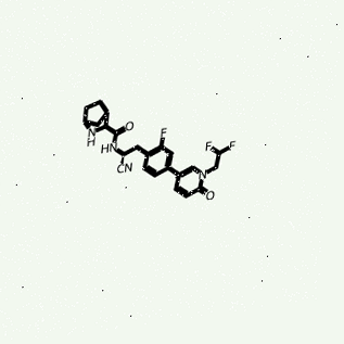 N#C[C@H](Cc1ccc(-c2ccc(=O)n(CC(F)F)c2)cc1F)NC(=O)C1NC2CCC1C2